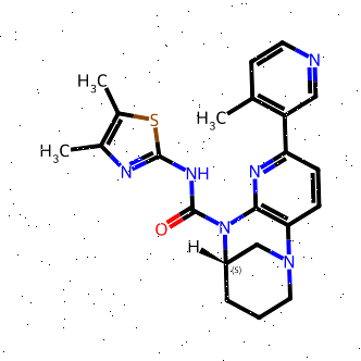 Cc1ccncc1-c1ccc2c(n1)N(C(=O)Nc1nc(C)c(C)s1)[C@H]1CCCN2C1